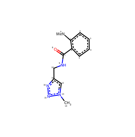 CNc1ccccc1C(=O)NCc1cn(C)nn1